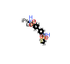 CC(C)C(NS(=O)(=O)c1ccc(-c2ccc(NS(=O)(=O)c3cccs3)cc2)cc1)C(=O)O